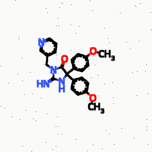 COc1ccc(C2(c3ccc(OC)cc3)NC(=N)N(Cc3cccnc3)C2=O)cc1